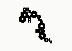 Cc1cccc(CC2(O)CCN(CCOc3cccc(Nc4cc(C)nc5ccccc45)c3)CC2)c1